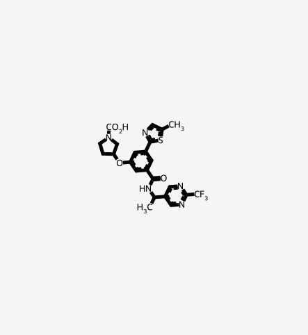 Cc1cnc(-c2cc(OC3CCN(C(=O)O)C3)cc(C(=O)NC(C)c3cnc(C(F)(F)F)nc3)c2)s1